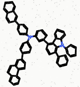 c1ccc(-c2ccc(-c3cccc(N(c4ccc(-c5ccc6ccccc6c5)cc4)c4ccc(-c5ccc6c(ccc7ccccc76)c5)cc4)c3)c3c4ccccc4n(-c4ccccc4)c23)cc1